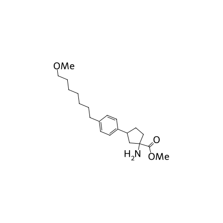 COCCCCCCCc1ccc(C2CCC(N)(C(=O)OC)C2)cc1